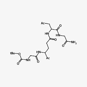 CC(=O)CC(NC(=O)CCC(NC(=O)CNC(=O)OC(C)(C)C)C(C)=O)C(=O)NCC(N)=O